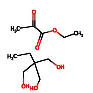 CCC(CO)(CO)CO.CCOC(=O)C(C)=O